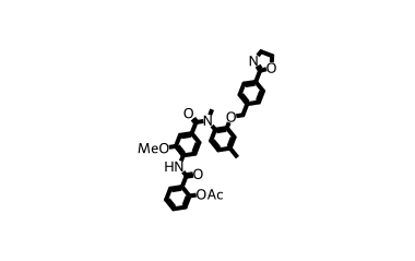 COc1cc(C(=O)N(C)c2ccc(C)cc2OCc2ccc(C3=NCCO3)cc2)ccc1NC(=O)c1ccccc1OC(C)=O